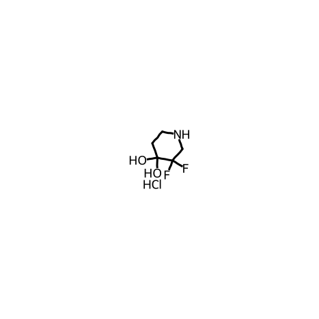 Cl.OC1(O)CCNCC1(F)F